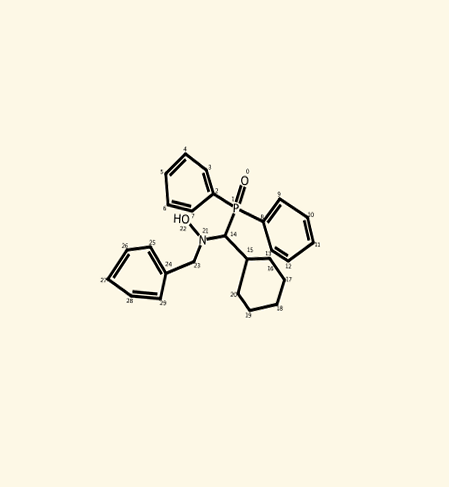 O=P(c1ccccc1)(c1ccccc1)C(C1CCCCC1)N(O)Cc1ccccc1